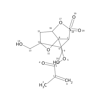 C=C(C)C(=O)OC1C2C3(CO)OC1(CO)CC3OS2(=O)=O